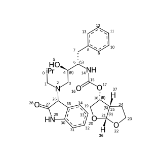 CC(C)CN(C[C@@H](O)[C@H](Cc1ccccc1)NC(=O)O[C@H]1CO[C@H]2OCC[C@H]21)C1C(=O)Nc2ccccc21